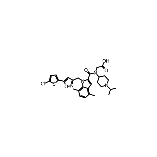 Cc1ccc(C)c2c1cc(C(=O)N(CC(=O)O)C1CCN(C(C)C)CC1)n2Cc1cc(-c2ccc(Cl)s2)on1